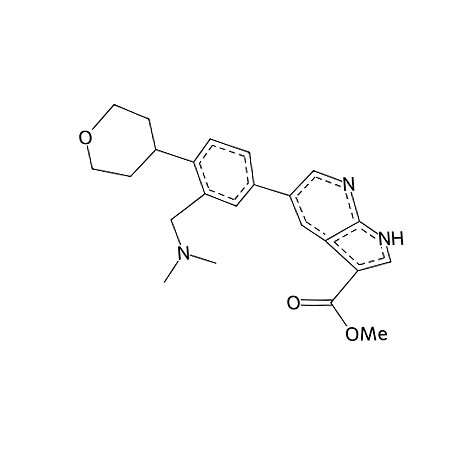 COC(=O)c1c[nH]c2ncc(-c3ccc(C4CCOCC4)c(CN(C)C)c3)cc12